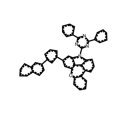 c1ccc(-c2nc(-c3ccccc3)nc(-n3c4cc(-c5cccc(-c6ccc7ccccc7c6)c5)cc5oc6ccccc6c6cccc3c6c54)n2)cc1